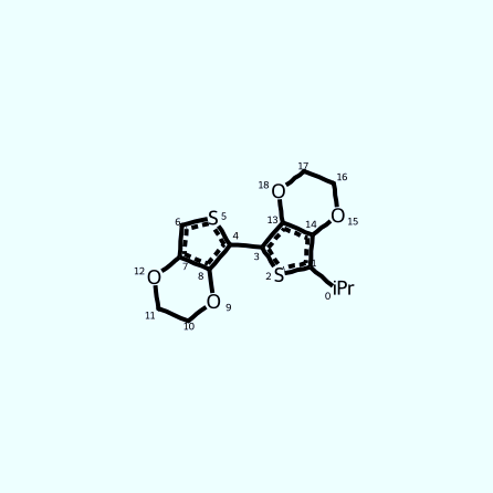 CC(C)c1sc(-c2scc3c2OCCO3)c2c1OCCO2